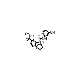 CC(C)NC(=O)c1ccc2c(n1)N(C(=O)Nc1cc(C#N)ccn1)[C@H]1CCN2C1